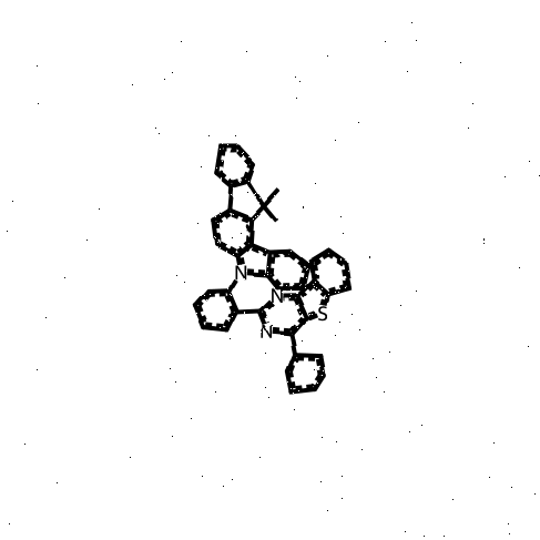 CC1(C)c2ccccc2-c2ccc3c(c21)c1ccccc1n3-c1ccccc1-c1nc(-c2ccccc2)c2sc3ccccc3c2n1